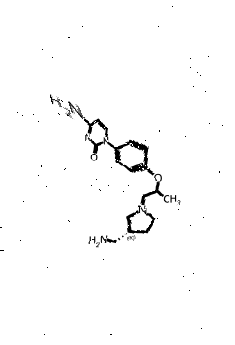 CC(CN1CC[C@H](CN)C1)Oc1ccc(-n2ccc(N)nc2=O)cc1